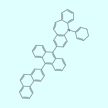 C1=CC(N2c3ccccc3C=Cc3cc(-c4c5ccccc5c(-c5ccc6c(ccc7ccccc76)c5)c5ccccc45)ccc32)=CCC1